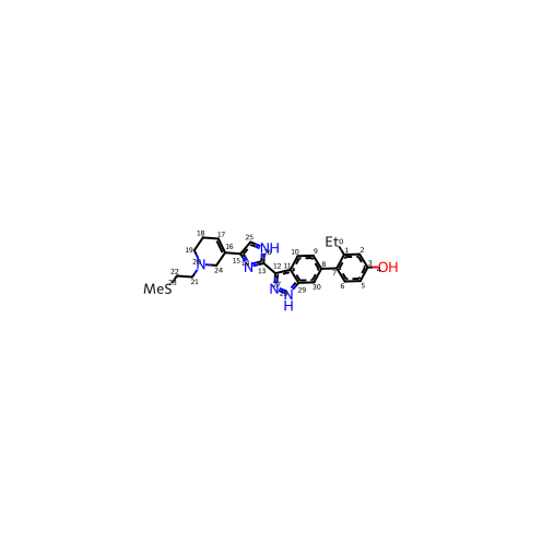 CCc1cc(O)ccc1-c1ccc2c(-c3nc(C4=CCCN(CCSC)C4)c[nH]3)n[nH]c2c1